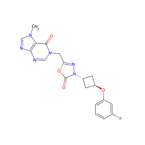 Cn1cnc2ncn(Cc3nn([C@H]4C[C@H](Oc5cccc(F)c5)C4)c(=O)o3)c(=O)c21